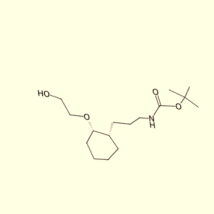 CC(C)(C)OC(=O)NCCC[C@@H]1CCCC[C@@H]1OCCO